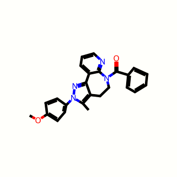 COc1ccc(-n2nc3c(c2C)CCN(C(=O)c2ccccc2)c2ncccc2-3)cc1